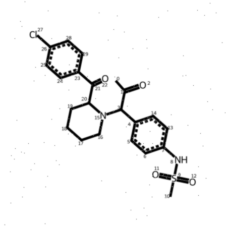 CC(=O)C(c1ccc(NS(C)(=O)=O)cc1)N1CCCCC1C(=O)c1ccc(Cl)cc1